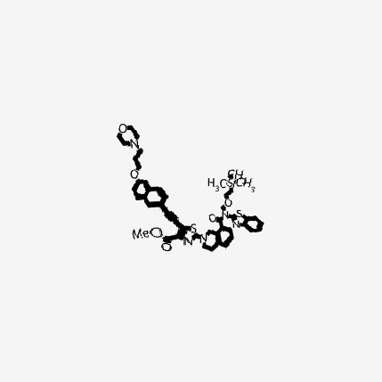 COC(=O)c1nc(N2CCc3cccc(C(=O)N(COCC[Si](C)(C)C)c4nc5ccccc5s4)c3C2)sc1C#Cc1ccc2cc(OCCCN3CCOCC3)ccc2c1